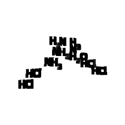 Cl.Cl.Cl.Cl.N.N.N.N.O